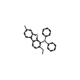 CCc1ccc2c(sc3cc(C)ccc32)c1N(c1ccccc1)c1ccccc1